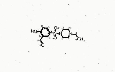 CCN1CCN(S(=O)(=O)c2ccc(O)c(C=O)c2)CC1